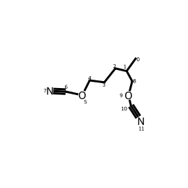 CC(CCCOC#N)COC#N